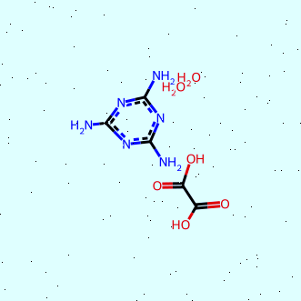 Nc1nc(N)nc(N)n1.O.O.O=C(O)C(=O)O